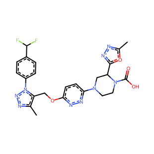 Cc1nnc(C2CN(c3ccc(OCc4c(C)nnn4-c4ccc(C(F)F)cc4)nn3)CCN2C(=O)O)o1